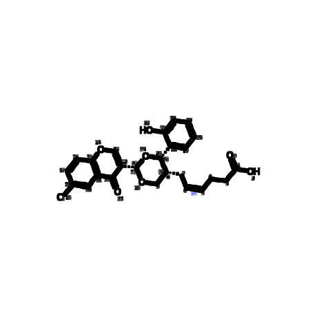 O=C(O)CC/C=C\C[C@@H]1CO[C@H](c2coc3ccc(Cl)cc3c2=O)O[C@@H]1c1ccccc1O